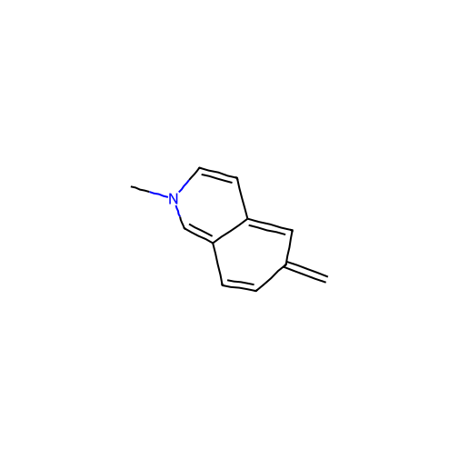 C=c1ccc2c(c1)C=CN(C)C=2